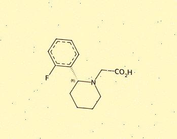 O=C(O)CN1CCCC[C@@H]1c1ccccc1F